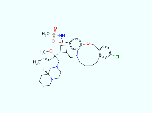 C/C=C/C(CN1CCN2CCCC[C@@H]2C1)(OC)[C@@H]1CC[C@H]1CN1CCCCc2cc(Cl)ccc2COc2ccc(C(=O)NS(C)(=O)=O)cc21